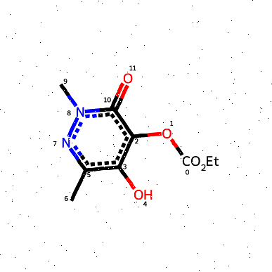 CCOC(=O)Oc1c(O)c(C)nn(C)c1=O